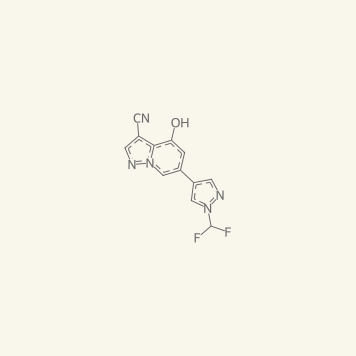 N#Cc1cnn2cc(-c3cnn(C(F)F)c3)cc(O)c12